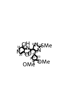 COc1ccc(-c2nc(SC)ncc2C(=O)Nc2c(Cl)cncc2Cl)cc1OC